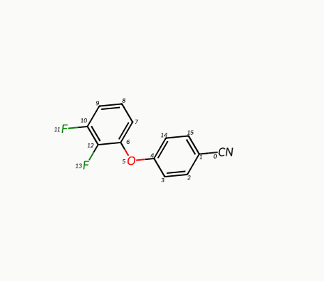 N#Cc1ccc(Oc2cccc(F)c2F)cc1